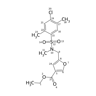 CCOC(=O)c1coc(CN(C)S(=O)(=O)c2cc(C)c(Cl)cc2C)c1